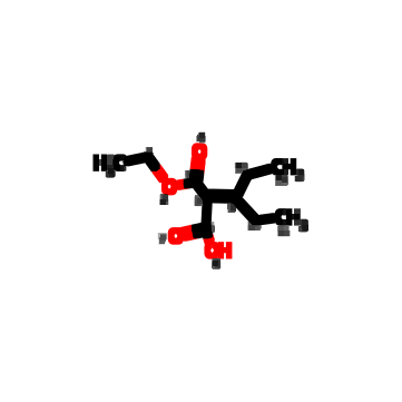 CCOC(=O)C(C(=O)O)=C(CC)CC